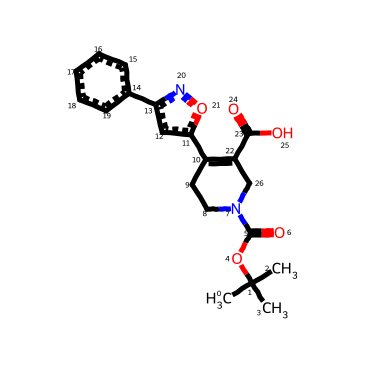 CC(C)(C)OC(=O)N1CCC(c2cc(-c3ccccc3)no2)=C(C(=O)O)C1